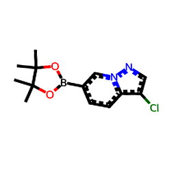 CC1(C)OB(c2ccc3c(Cl)cnn3c2)OC1(C)C